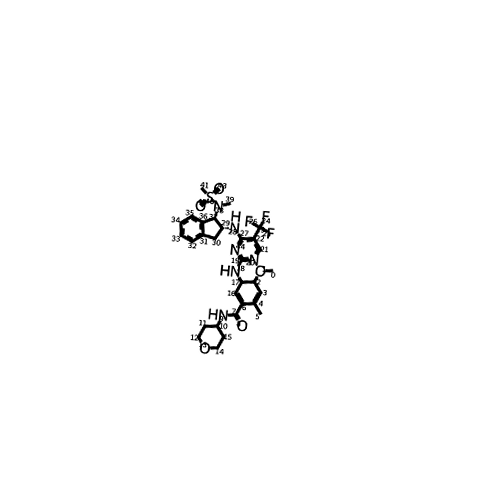 COC1C=C(C)C(C(=O)NC2CCOCC2)=CC1Nc1ncc(C(F)(F)F)c(N[C@@H]2Cc3ccccc3[C@H]2N(C)S(C)(=O)=O)n1